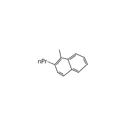 CCCc1ccc2ccccc2c1C